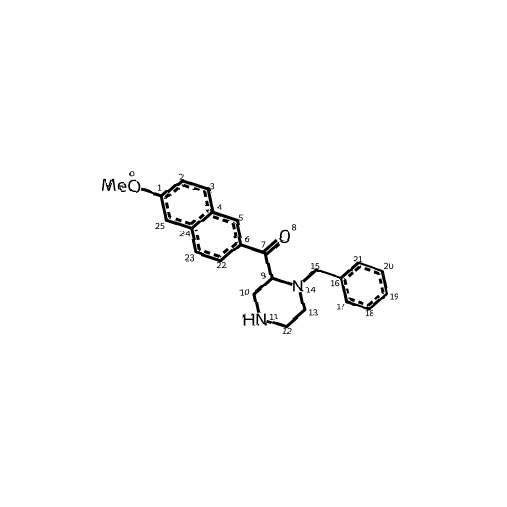 COc1ccc2cc(C(=O)C3CNCCN3Cc3ccccc3)ccc2c1